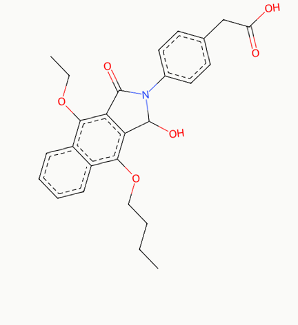 CCCCOc1c2c(c(OCC)c3ccccc13)C(=O)N(c1ccc(CC(=O)O)cc1)C2O